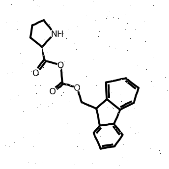 O=C(OCC1c2ccccc2-c2ccccc21)OC(=O)[C@H]1CCCN1